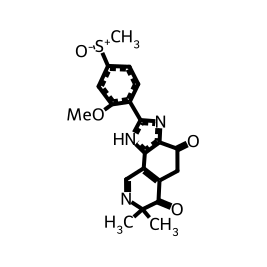 COc1cc([S+](C)[O-])ccc1-c1nc2c([nH]1)C1=C(CC2=O)C(=O)C(C)(C)N=C1